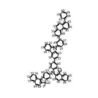 CC1(C)c2cc(N3c4ccc(-c5ccc6c(c5)c5ccccc5n6-c5cccc(-c6ccc7ccc8c(-c9ccccc9)cccc8c7c6)c5)cc4Oc4c3ccc3ccccc43)ccc2-c2c1ccc1ccccc21